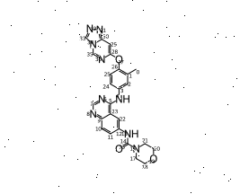 Cc1cc(Nc2ncnc3ccc(NC(=O)N4CCOCC4)cc23)ccc1Oc1cc2nncn2cn1